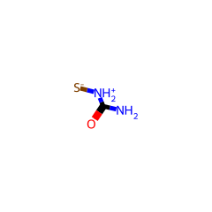 NC(=O)[NH2+][S-]